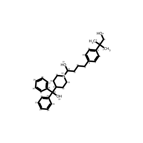 CC(C)(CO)c1ccc(CCCC(O)N2CCC(C(O)(c3ccccc3)c3ccccc3)CC2)cc1